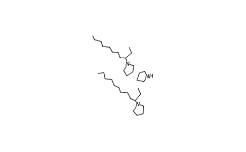 C1CCNC1.CCCCCCCCC(CC)N1CCCC1.CCCCCCCCCC(CC)N1CCCC1